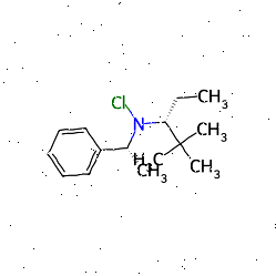 CC[C@@H](N(Cl)[C@H](C)c1ccccc1)C(C)(C)C